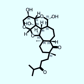 CC(C)C(=O)CC[C@]1(C)CC[C@]2(C)[C@H](CC[C@H]3[C@@H]4[C@@H]2O[C@@H]2OC[C@@H](O)[C@H](O[C@@H]3O)[C@]24O)C1=O